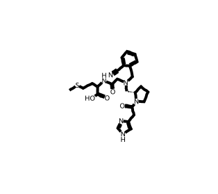 CSCCC(NC(=O)CN(Cc1ccccc1C#N)C[C@@H]1CCCN1C(=O)Cc1c[nH]cn1)C(=O)O